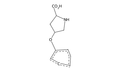 O=C(O)C1CC(Oc2ccccc2)CN1